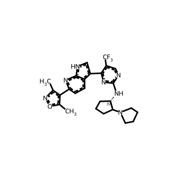 Cc1noc(C)c1-c1ccc2c(-c3nc(N[C@H]4CCCC4N4CCCC4)ncc3C(F)(F)F)c[nH]c2n1